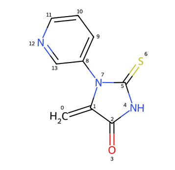 C=C1C(=O)NC(=S)N1c1cccnc1